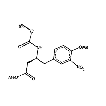 COC(=O)C[C@H](Cc1ccc(OC)c([N+](=O)[O-])c1)NC(=O)OC(C)(C)C